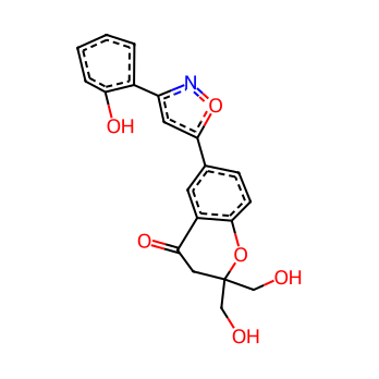 O=C1CC(CO)(CO)Oc2ccc(-c3cc(-c4ccccc4O)no3)cc21